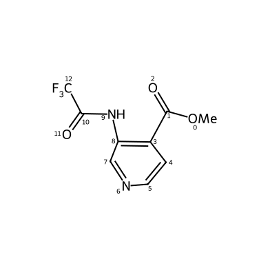 COC(=O)c1ccncc1NC(=O)C(F)(F)F